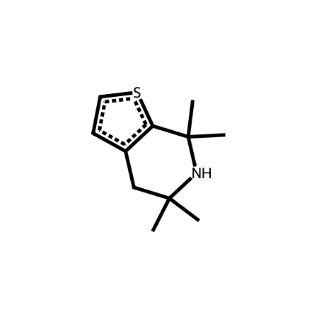 CC1(C)Cc2ccsc2C(C)(C)N1